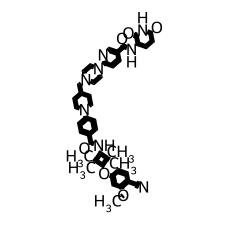 COc1cc(O[C@H]2C(C)(C)[C@H](NC(=O)c3ccc(N4CCC(CN5CCN(c6ccc(C(=O)N[C@H]7CCC(=O)NC7=O)cn6)CC5)CC4)cc3)C2(C)C)ccc1C#N